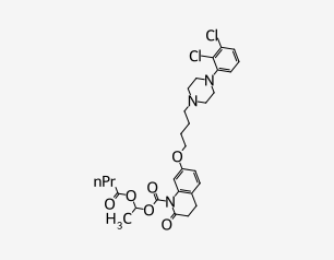 CCCC(=O)OC(C)OC(=O)N1C(=O)CCc2ccc(OCCCCN3CCN(c4cccc(Cl)c4Cl)CC3)cc21